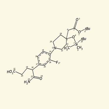 CC(C)(C)OC(=O)CC1(O[Si](C)(C)C(C)(C)C)CCN(c2ccc(C(CCC(=O)O)C(N)=O)cc2F)CC1